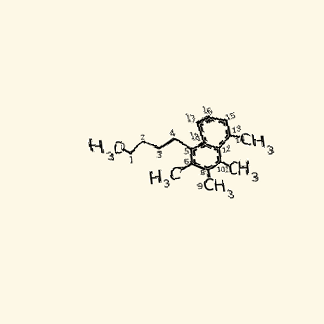 CCCCCc1c(C)c(C)c(C)c2c(C)cccc12